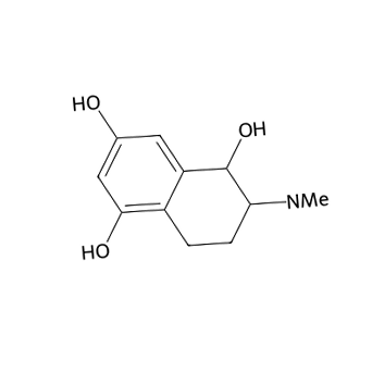 CNC1CCc2c(O)cc(O)cc2C1O